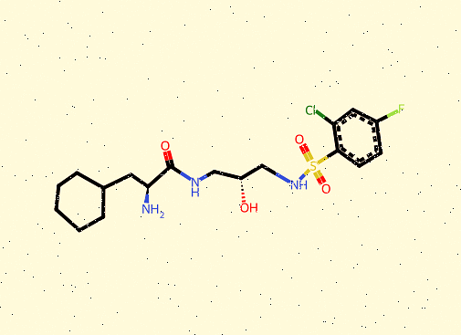 N[C@@H](CC1CCCCC1)C(=O)NC[C@@H](O)CNS(=O)(=O)c1ccc(F)cc1Cl